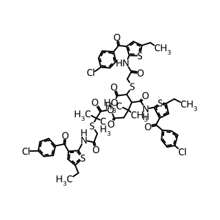 CCc1cc(C(=O)c2ccc(Cl)cc2)c(NC(=O)CSC(C(=O)O)C(C(=O)Nc2sc(CC)cc2C(=O)c2ccc(Cl)cc2)C(C)(C)CC(=O)OC(=O)C(C)(C)SCC(=O)Nc2sc(CC)cc2C(=O)c2ccc(Cl)cc2)s1